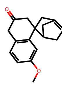 COc1ccc2c(c1)C1(CC(=O)C2)CC2=CCC1C2